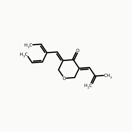 C=C(C)/C=C1\COC\C(=C/C(/C=C\C)=C/C)C1=O